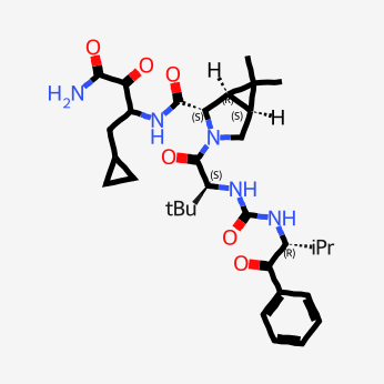 CC(C)[C@@H](NC(=O)N[C@H](C(=O)N1C[C@H]2[C@@H]([C@H]1C(=O)NC(CC1CC1)C(=O)C(N)=O)C2(C)C)C(C)(C)C)C(=O)c1ccccc1